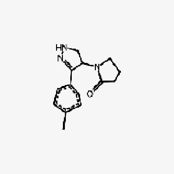 Cc1ccc(C2=NNCC2N2CCCC2=O)cc1